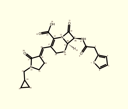 O=C(Cc1cccs1)N[C@@H]1C(=O)N2C(C(=O)O)=C(C=C3CCN(CC4CC4)C3=O)CS[C@H]12